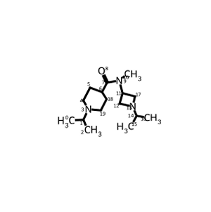 CC(C)N1CCC(C(=O)N(C)C2CN(C(C)C)C2)CC1